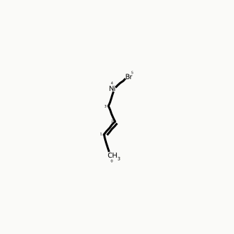 CC=C[CH2][Ni][Br]